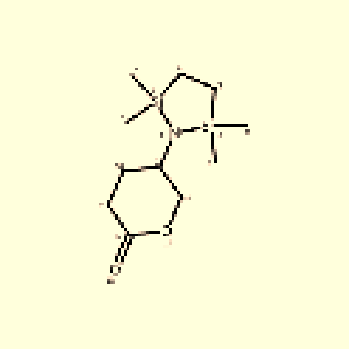 C[Si]1(C)CC[Si](C)(C)N1C1CCC(=O)OC1